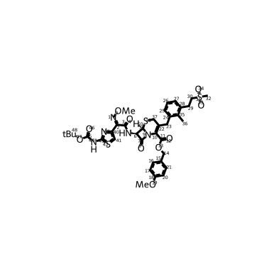 CO/N=C(\C(=O)N[C@@H]1C(=O)N2C(C(=O)OCc3ccc(OC)cc3)=C(Cc3cccc(CCS(C)(=O)=O)c3C)CS[C@H]12)c1csc(NC(=O)OC(C)(C)C)n1